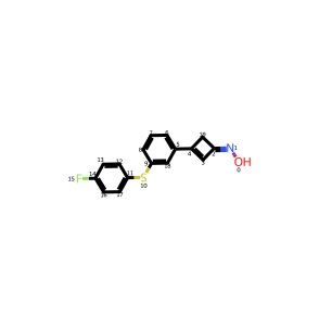 ON=C1C=C(c2cccc(Sc3ccc(F)cc3)c2)C1